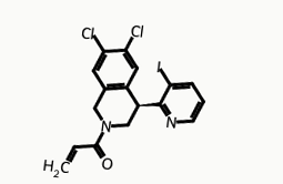 C=CC(=O)N1Cc2cc(Cl)c(Cl)cc2[C@@H](c2ncccc2I)C1